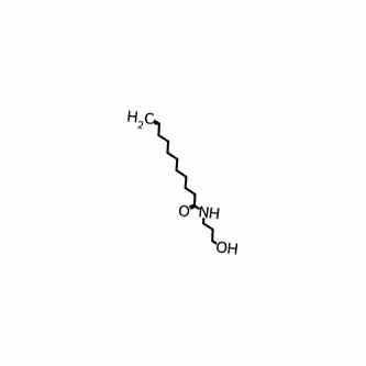 C=CCCCCCCCCC(=O)NCCCO